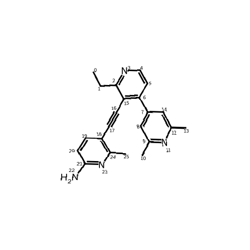 CCc1nccc(-c2cc(C)nc(C)c2)c1C#Cc1ccc(N)nc1C